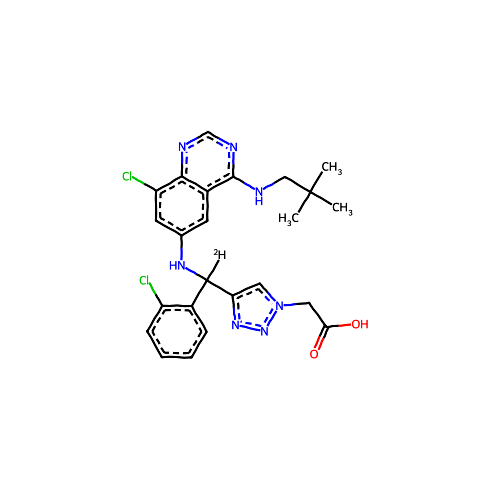 [2H]C(Nc1cc(Cl)c2ncnc(NCC(C)(C)C)c2c1)(c1cn(CC(=O)O)nn1)c1ccccc1Cl